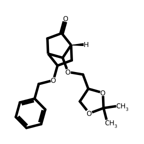 CC1(C)OCC(COC2C3CC(=O)[C@@H]2CC3OCc2ccccc2)O1